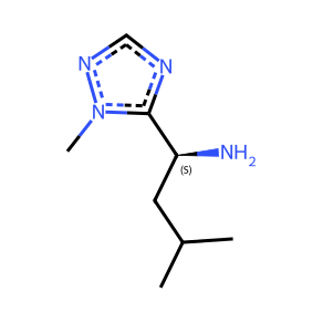 CC(C)C[C@H](N)c1ncnn1C